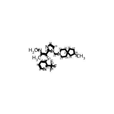 C=N/C(C)=C(/Sc1cccnc1C(F)(F)F)c1nccn1CN1CCC2(CC[C@@H](C)C2)CC1